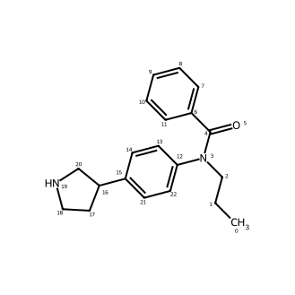 CCCN(C(=O)c1ccccc1)c1ccc(C2CCNC2)cc1